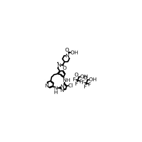 CN(Cc1ccc2cc1CCc1cncc(c1)Nc1ncc(Cl)c(n1)N2)C(=O)C1CCN(C(=O)O)CC1.O=C(O)C(F)(F)F.O=C(O)C(F)(F)F